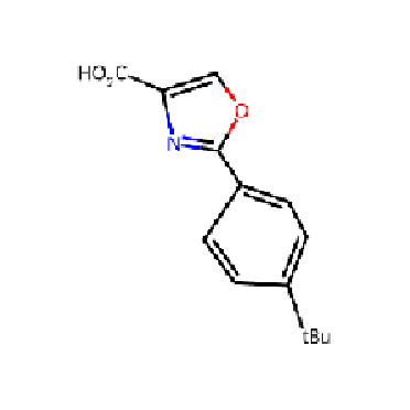 CC(C)(C)c1ccc(-c2nc(C(=O)O)co2)cc1